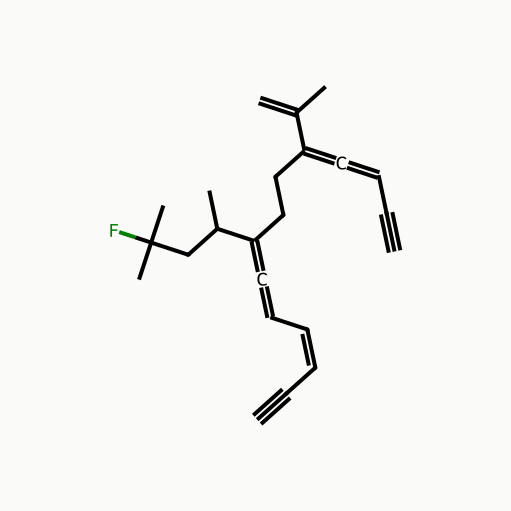 C#CC=C=C(CCC(=C=C/C=C\C#C)C(C)CC(C)(C)F)C(=C)C